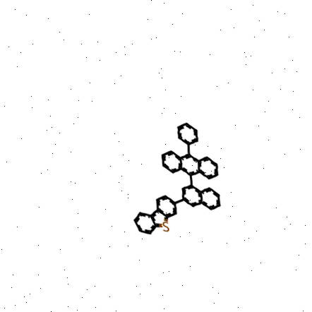 c1ccc(-c2c3ccccc3c(-c3cc(-c4ccc5c(c4)sc4ccccc45)cc4ccccc34)c3ccccc23)cc1